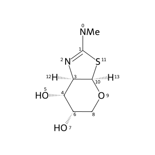 CNC1=N[C@@H]2[C@@H](O)[C@@H](O)CO[C@@H]2S1